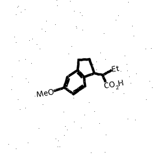 CCC(C(=O)O)C1CCc2cc(OC)ccc21